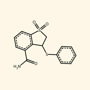 NC(=O)c1cccc2c1C(Sc1ccccc1)CS2(=O)=O